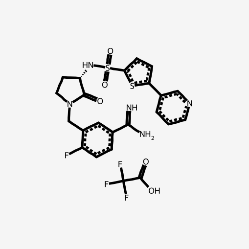 N=C(N)c1ccc(F)c(CN2CC[C@H](NS(=O)(=O)c3ccc(-c4cccnc4)s3)C2=O)c1.O=C(O)C(F)(F)F